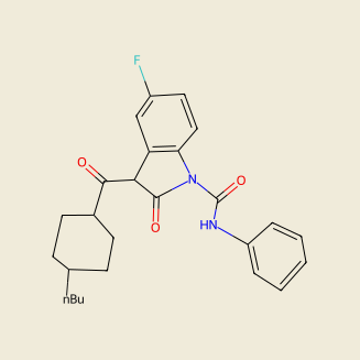 CCCCC1CCC(C(=O)C2C(=O)N(C(=O)Nc3ccccc3)c3ccc(F)cc32)CC1